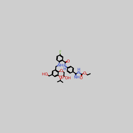 CCOC(=O)NC(=N)c1ccc(NC(=O)c2cc(F)ccc2NCc2cc(CO)cc(OC(C)C)c2OCC(=O)O)cc1